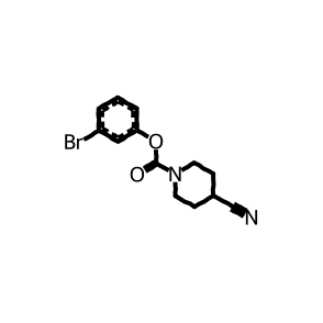 N#CC1CCN(C(=O)Oc2cccc(Br)c2)CC1